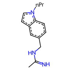 CCCn1ccc2cc(CNC(C)=N)ccc21